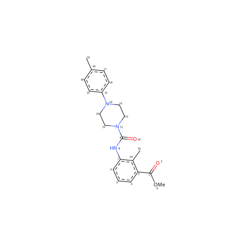 COC(=O)c1cccc(NC(=O)N2CCN(c3ccc(C)cc3)CC2)c1C